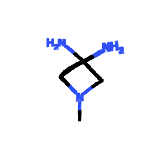 CN1CC(N)(N)C1